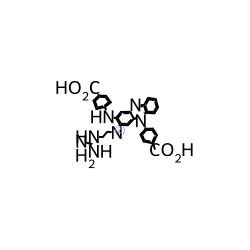 N=C(N)NCC/N=c1/cc2n(-c3ccc(C(=O)O)cc3)c3ccccc3nc-2cc1Nc1ccc(C(=O)O)cc1